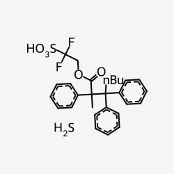 CCCCC(c1ccccc1)(c1ccccc1)C(C)(C(=O)OCC(F)(F)S(=O)(=O)O)c1ccccc1.S